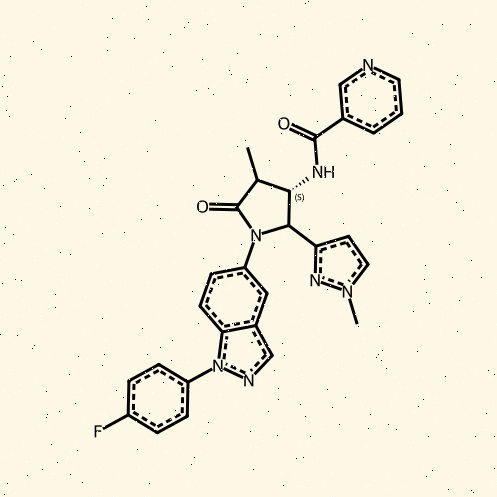 CC1C(=O)N(c2ccc3c(cnn3-c3ccc(F)cc3)c2)C(c2ccn(C)n2)[C@H]1NC(=O)c1cccnc1